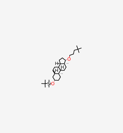 CC(C)(C)CCCO[C@H]1CC[C@H]2[C@@H]3CC=C4C[C@@H](O[Si](C)(C)C(C)(C)C)CC[C@]4(C)[C@H]3CC[C@]12C